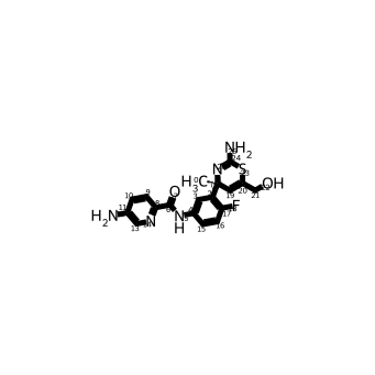 C[C@@]1(c2cc(NC(=O)c3ccc(N)cn3)ccc2F)C=C(CO)SC(N)=N1